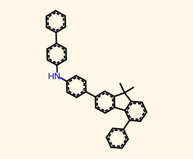 CC1(C)c2cc(-c3ccc(Nc4ccc(-c5ccccc5)cc4)cc3)ccc2-c2c(-c3ccccc3)cccc21